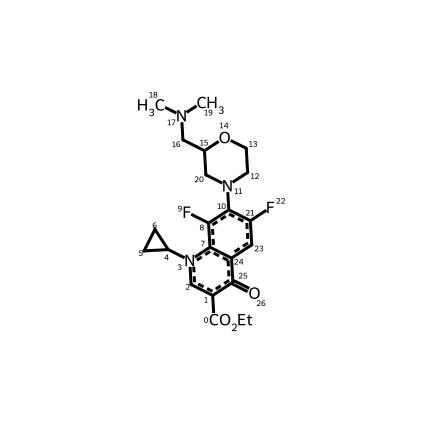 CCOC(=O)c1cn(C2CC2)c2c(F)c(N3CCOC(CN(C)C)C3)c(F)cc2c1=O